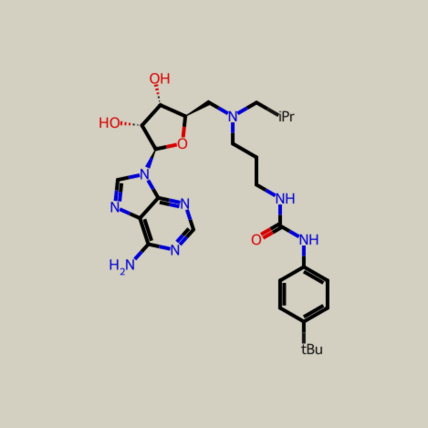 CC(C)CN(CCCNC(=O)Nc1ccc(C(C)(C)C)cc1)C[C@H]1O[C@@H](n2cnc3c(N)ncnc32)[C@H](O)[C@@H]1O